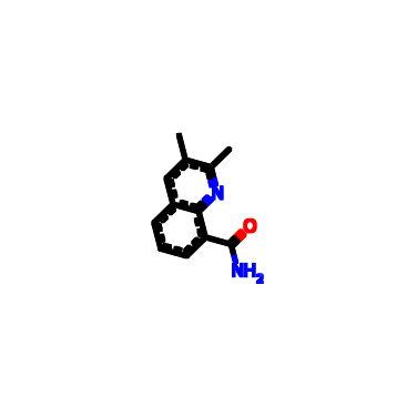 Cc1cc2cccc(C(N)=O)c2nc1C